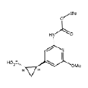 COc1cc([C@H]2C[C@@H]2C(=O)O)cc(NC(=O)OC(C)(C)C)n1